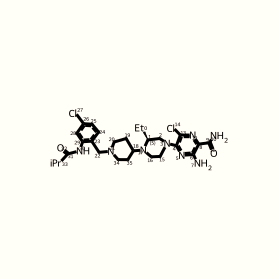 CC[C@H]1CN(c2nc(N)c(C(N)=O)nc2Cl)CCN1C1CCN(Cc2ccc(Cl)cc2NC(=O)C(C)C)CC1